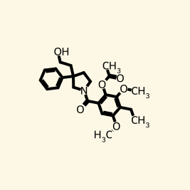 CCc1c(OC)cc(C(=O)N2CCC(CCO)(c3ccccc3)C2)c(OC(C)=O)c1OC